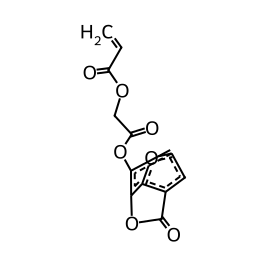 C=CC(=O)OCC(=O)Oc1c2c3oc1cc3C(=O)O2